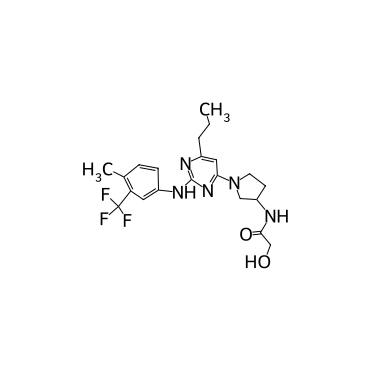 CCCc1cc(N2CCC(NC(=O)CO)C2)nc(Nc2ccc(C)c(C(F)(F)F)c2)n1